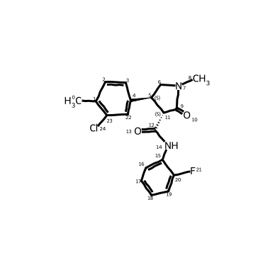 Cc1ccc([C@H]2CN(C)C(=O)[C@@H]2C(=O)Nc2ccccc2F)cc1Cl